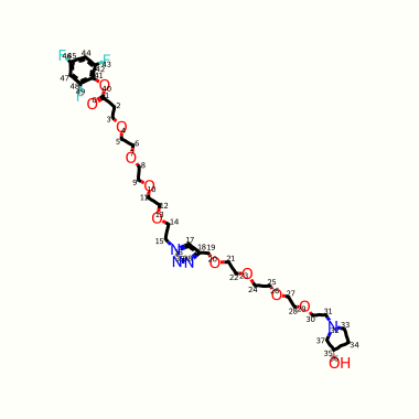 O=C(CCOCCOCCOCCOCCn1cc(COCCOCCOCCOCCN2CC[C@H](O)C2)nn1)Oc1c(F)cc(F)cc1F